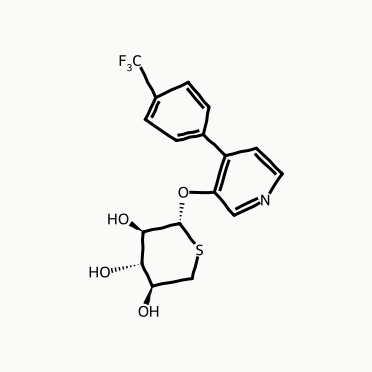 O[C@@H]1[C@@H](O)[C@H](Oc2cnccc2-c2ccc(C(F)(F)F)cc2)SC[C@H]1O